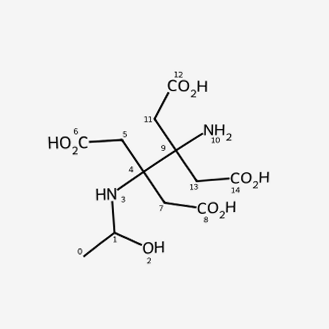 CC(O)NC(CC(=O)O)(CC(=O)O)C(N)(CC(=O)O)CC(=O)O